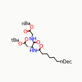 CCCCCCCCCCCCCCCC(=O)N[C@H](CC(=O)OC(C)(C)C)C(=O)NCC(=O)OCCCC